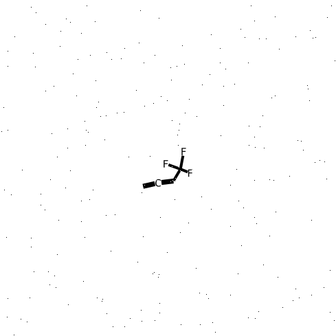 C=C=CC(F)(F)F